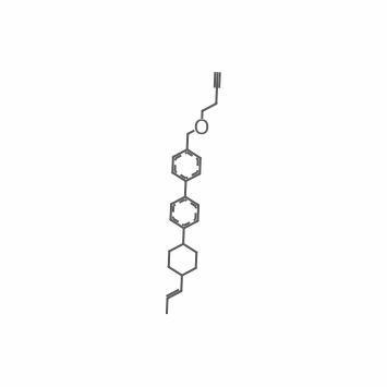 C#CCCOCc1ccc(-c2ccc(C3CCC(C=CC)CC3)cc2)cc1